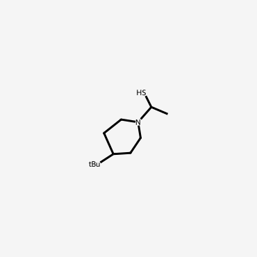 CC(S)N1CCC(C(C)(C)C)CC1